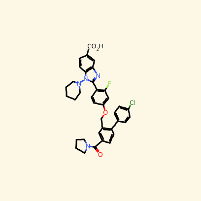 O=C(O)c1ccc2c(c1)nc(-c1ccc(OCc3cc(C(=O)N4CCCC4)ccc3-c3ccc(Cl)cc3)cc1F)n2N1CCCCC1